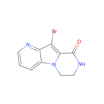 O=C1NCCn2c1c(Br)c1ncccc12